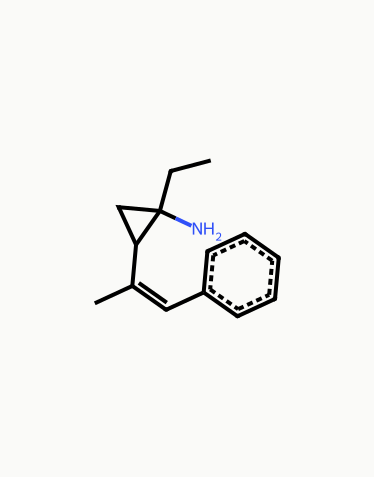 CCC1(N)CC1C(C)=Cc1ccccc1